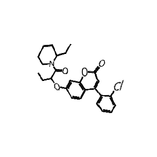 CCC(Oc1ccc2c(-c3ccccc3Cl)cc(=O)oc2c1)C(=O)N1CCCCC1CC